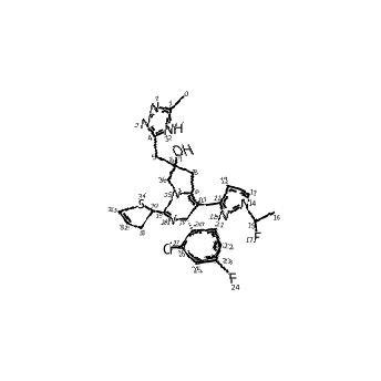 Cc1nnc(CC2(O)CC3=C(c4ccn(C(C)F)n4)[C@H](c4ccc(F)cc4Cl)N=C(C4CC=CS4)N3C2)[nH]1